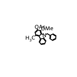 COc1c(OC(C)=O)cc(C)c2c3ccccc3n(Cc3ccccc3)c12